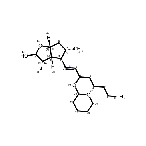 CCCCCC(/C=C/[C@H]1[C@@H]2[C@H](F)C(O)O[C@@H]2C[C@@H]1C)OC1CCCCO1